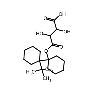 CC(C)(C)C1(C2(OC(=O)C(O)C(O)C(=O)O)CCCCC2)CCCCC1